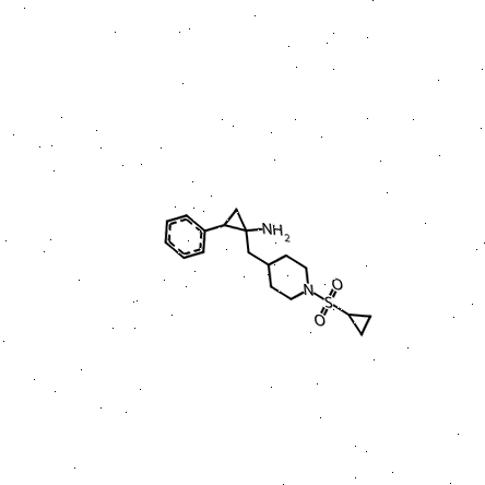 NC1(CC2CCN(S(=O)(=O)C3CC3)CC2)CC1c1ccccc1